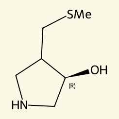 CSCC1CNC[C@@H]1O